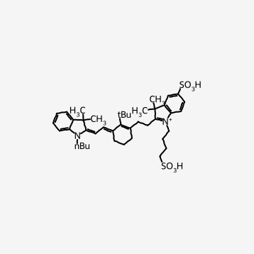 CCCCN1/C(=C/C=C2\CCCC(CCC3=[N+](CCCCS(=O)(=O)O)c4ccc(S(=O)(=O)O)cc4C3(C)C)=C2C(C)(C)C)C(C)(C)c2ccccc21